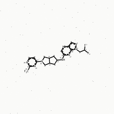 FC(F)Cn1ncc2ncc(NC3CC4CN(c5ccnc(C(F)(F)F)n5)CC4C3)nc21